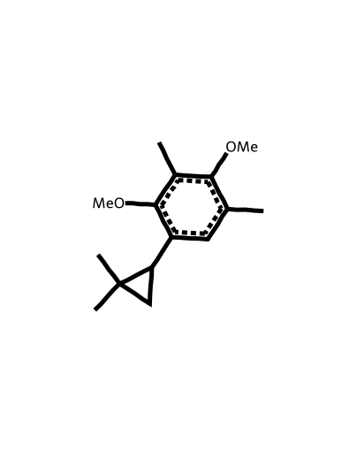 COc1c(C)cc(C2CC2(C)C)c(OC)c1C